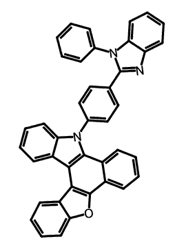 c1ccc(-n2c(-c3ccc(-n4c5ccccc5c5c6c7ccccc7oc6c6ccccc6c54)cc3)nc3ccccc32)cc1